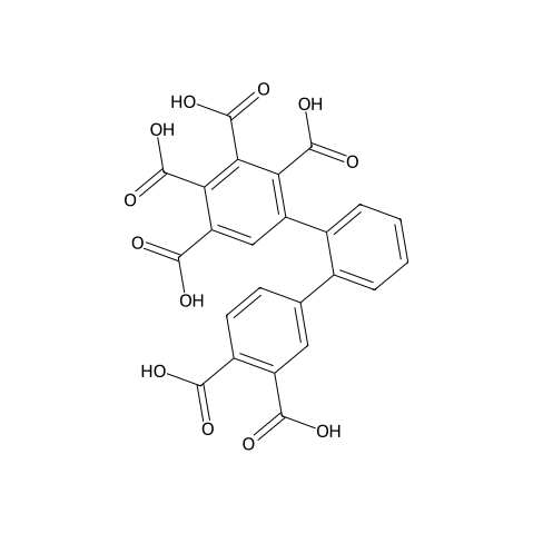 O=C(O)c1ccc(-c2ccccc2-c2cc(C(=O)O)c(C(=O)O)c(C(=O)O)c2C(=O)O)cc1C(=O)O